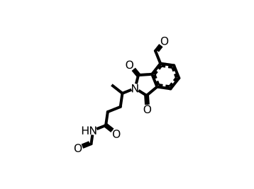 CC(CCC(=O)NC=O)N1C(=O)c2cccc(C=O)c2C1=O